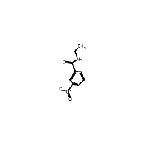 CCNC(=O)c1c[c]cc([N+](=O)[O-])c1